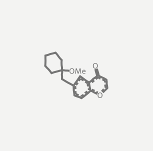 COC1(Cc2ccc3occc(=O)c3c2)CCCCC1